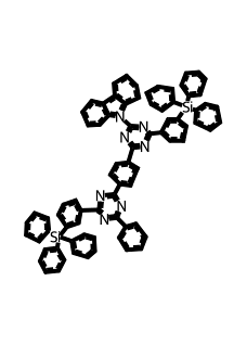 c1ccc(-c2nc(-c3ccc(-c4nc(-c5cccc([Si](c6ccccc6)(c6ccccc6)c6ccccc6)c5)nc(-n5c6ccccc6c6ccccc65)n4)cc3)nc(-c3cccc([Si](c4ccccc4)(c4ccccc4)c4ccccc4)c3)n2)cc1